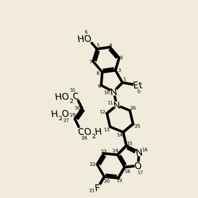 CCC1c2ccc(O)cc2CN1N1CCC(c2noc3cc(F)ccc23)CC1.O.O=C(O)/C=C/C(=O)O